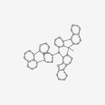 CC1(C)c2ccc3ccccc3c2-c2cccc(N(c3ccc(-c4cccc5cccc(-c6ccccc6)c45)cc3)c3cccc4c3oc3ccccc34)c21